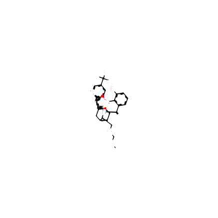 COCOCC1C2CCC(C(Oc3ccc(C(F)(F)F)cn3)C2)N1C(=O)c1cccc(F)c1-n1nccn1